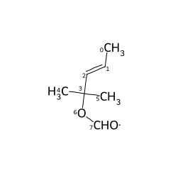 CC=CC(C)(C)O[C]=O